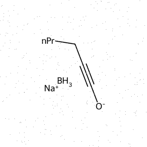 B.CCCCC#C[O-].[Na+]